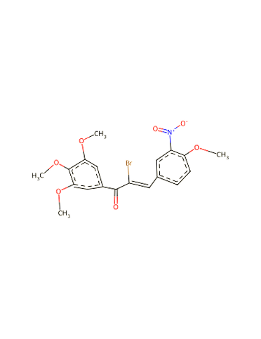 COc1ccc(C=C(Br)C(=O)c2cc(OC)c(OC)c(OC)c2)cc1[N+](=O)[O-]